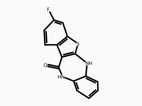 O=C1Nc2ccccc2Nc2sc3cc(F)ccc3c21